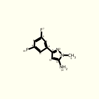 Cn1nc(-c2cc(F)cc(F)c2)cc1N